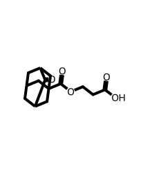 O=C(O)CCOC(=O)C12CC3CC(C1)C(=O)C(C3)C2